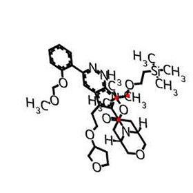 COCOc1ccccc1-c1cc2c(CCOC3CCOC3)c(C3C[C@H]4COC[C@@H](C3)N4C(=O)OC(C)(C)C)n(COCC[Si](C)(C)C)c2nn1